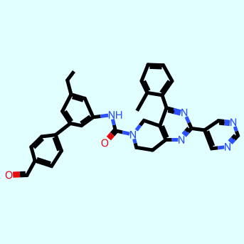 CCc1cc(NC(=O)N2CCc3nc(-c4cncnc4)nc(-c4ccccc4C)c3C2)cc(-c2ccc(C=O)cc2)c1